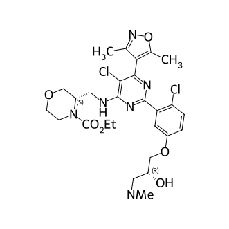 CCOC(=O)N1CCOC[C@@H]1CNc1nc(-c2cc(OC[C@H](O)CNC)ccc2Cl)nc(-c2c(C)noc2C)c1Cl